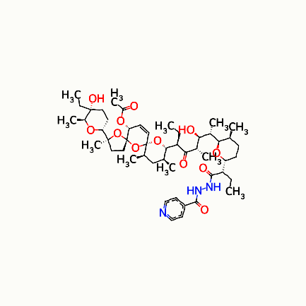 CCC(C(=O)NNC(=O)c1ccncc1)[C@H]1CC[C@H](C)[C@H]([C@@H](C)[C@H](O)[C@H](C)C(=O)[C@H](CC)[C@H]2O[C@]3(C=C[C@@H](OC(C)=O)[C@]4(CC[C@@](C)([C@H]5CC[C@](O)(CC)[C@H](C)O5)O4)O3)[C@H](C)C[C@@H]2C)O1